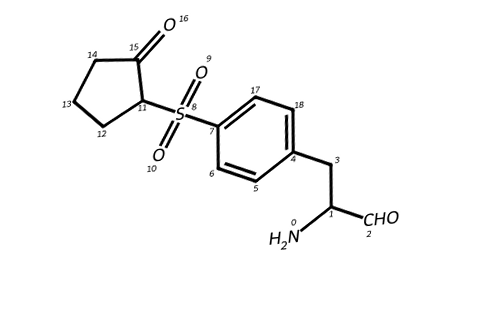 NC(C=O)Cc1ccc(S(=O)(=O)C2CCCC2=O)cc1